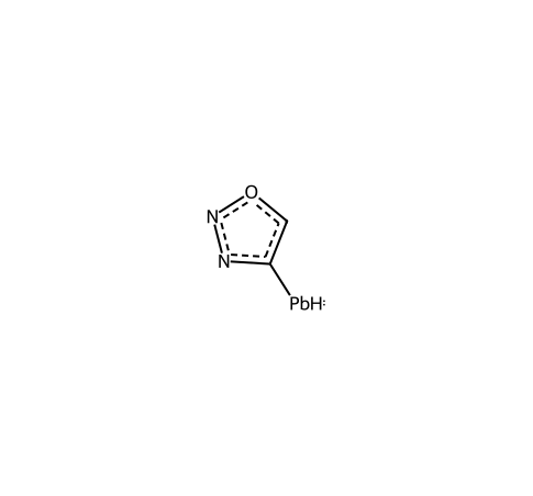 [PbH][c]1conn1